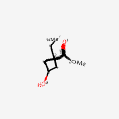 CNCC1(C(=O)OC)CC(O)C1